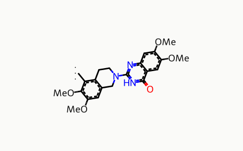 [C]c1c2c(cc(OC)c1OC)CN(c1nc3cc(OC)c(OC)cc3c(=O)[nH]1)CC2